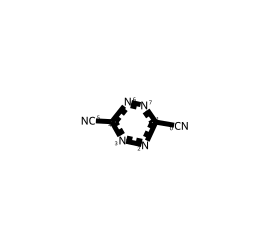 N#Cc1nnc(C#N)nn1